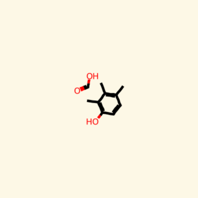 Cc1ccc(O)c(C)c1C.O=CO